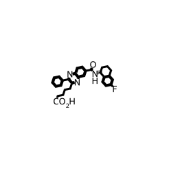 O=C(O)CCCCc1nc2cc(C(=O)N[C@@H]3CCCc4cc(F)ccc43)ccc2nc1-c1ccccc1